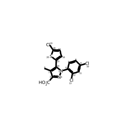 Cc1c(C(=O)O)nn(-c2ccc(Cl)cc2Cl)c1-c1ccc(Cl)s1